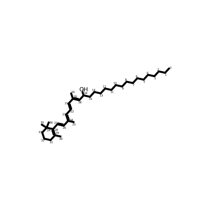 CCCCCCCCCCCCCCCCC(O)C=C(C)C=CC=C(C)C=CC1=C(C)CCCC1(C)C